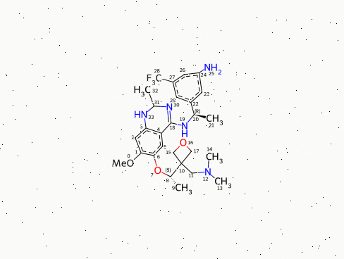 COc1cc2c(cc1O[C@@H](C)C1(CN(C)C)COC1)C(N[C@H](C)c1cc(N)cc(C(F)(F)F)c1)=NC(C)N2